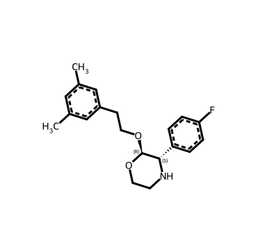 Cc1cc(C)cc(CCO[C@@H]2OCCN[C@H]2c2ccc(F)cc2)c1